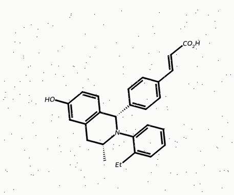 CCc1ccccc1N1[C@@H](c2ccc(C=CC(=O)O)cc2)c2ccc(O)cc2C[C@H]1C